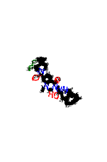 CCN1CCN(CC(O)C2Cc3ccccc3CN2)C(=O)c2ccc(C(=O)N3CCC4(CC4)C(F)(F)C3)cc21